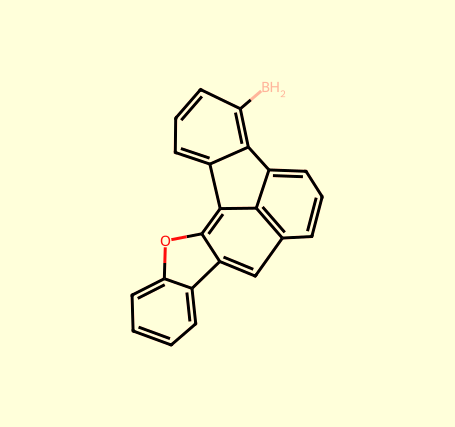 Bc1cccc2c1-c1cccc3cc4c(oc5ccccc54)c-2c13